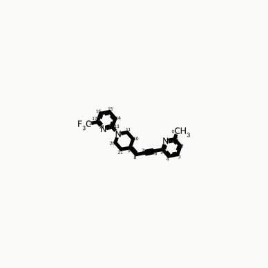 Cc1cccc(C#CC=C2CCN(c3cccc(C(F)(F)F)n3)CC2)n1